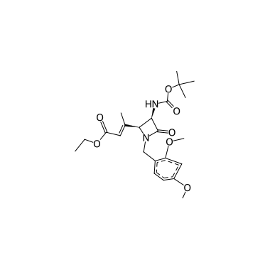 CCOC(=O)C=C(C)[C@H]1[C@@H](NC(=O)OC(C)(C)C)C(=O)N1Cc1ccc(OC)cc1OC